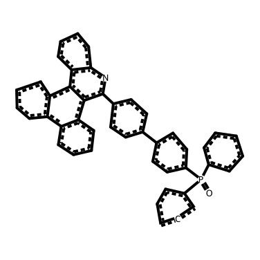 O=P(c1ccccc1)(c1ccccc1)c1ccc(-c2ccc(-c3nc4ccccc4c4c5ccccc5c5ccccc5c34)cc2)cc1